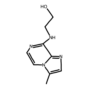 Cc1cnc2c(NCCO)nccn12